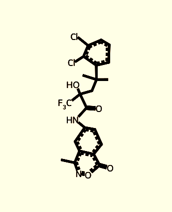 Cc1noc(=O)c2ccc(NC(=O)C(O)(CC(C)(C)c3cccc(Cl)c3Cl)C(F)(F)F)cc12